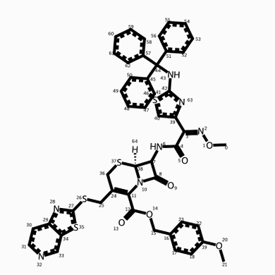 CO/N=C(\C(=O)NC1C(=O)N2C(C(=O)OCc3ccc(OC)cc3)=C(CSc3nc4ccncc4s3)CS[C@@H]12)c1csc(NC(c2ccccc2)(c2ccccc2)c2ccccc2)n1